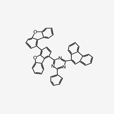 c1ccc(-c2nc(-c3cc4ccccc4c4ccccc34)nc(-c3ccc(-c4cccc5oc6ccccc6c45)c4oc5ccccc5c34)n2)cc1